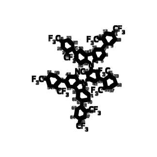 N#Cc1c(-n2c3ccc(-c4ccc(C(F)(F)F)cc4C(F)(F)F)cc3c3cc(-c4ccc(C(F)(F)F)cc4C(F)(F)F)ccc32)cc(-c2c(C(F)(F)F)cccc2C(F)(F)F)cc1-n1c2ccc(-c3ccc(C(F)(F)F)cc3C(F)(F)F)cc2c2cc(-c3ccc(C(F)(F)F)cc3C(F)(F)F)ccc21